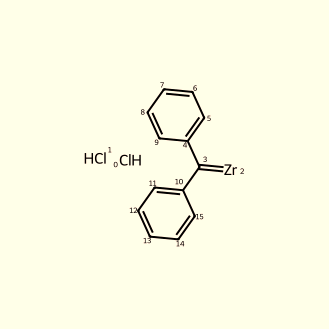 Cl.Cl.[Zr]=[C](c1ccccc1)c1ccccc1